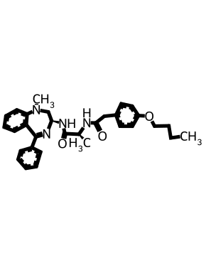 CCCCOc1ccc(CC(=O)N[C@@H](C)C(=O)N[C@@H]2CN(C)c3ccccc3C(c3ccccc3)=N2)cc1